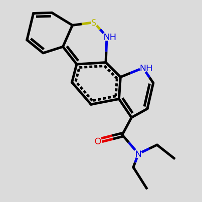 CCN(CC)C(=O)C1=c2ccc3c(c2NC=C1)NSC1C=CC=CC=31